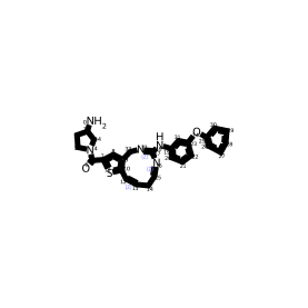 NC1CCN(C(=O)c2cc3c(s2)/C=C\C/C=N\C(Nc2cccc(Oc4ccccc4)c2)=N/C3)C1